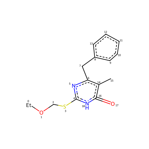 CCOCSc1nc(Cc2ccccc2)c(C)c(=O)[nH]1